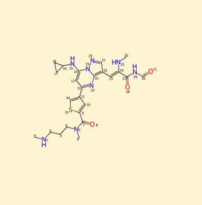 CNCCCN(C)C(=O)c1cc(-c2cc(NC3CC3)n3ncc(/C=C(\NC)C(=O)NC=O)c3n2)cs1